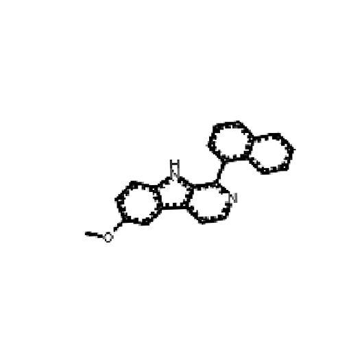 COc1ccc2[nH]c3c(-c4cccc5ccccc45)nccc3c2c1